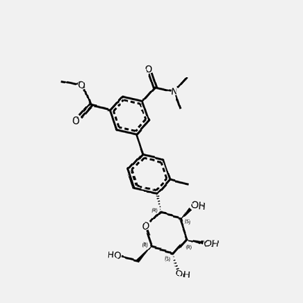 COC(=O)c1cc(C(=O)N(C)C)cc(-c2ccc([C@H]3O[C@H](CO)[C@@H](O)[C@H](O)[C@@H]3O)c(C)c2)c1